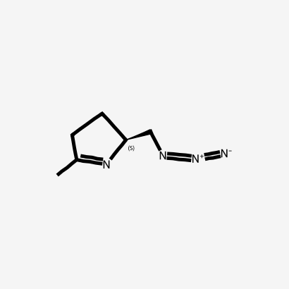 CC1=N[C@H](CN=[N+]=[N-])CC1